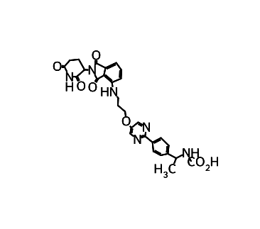 CC(NC(=O)O)c1ccc(-c2ncc(OCCCNc3cccc4c3C(=O)N(C3CCC(=O)NC3=O)C4=O)cn2)cc1